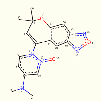 CN(C)c1ccn(C2=CC(C)(C)Oc3cc4nonc4cc32)[n+](=O)c1